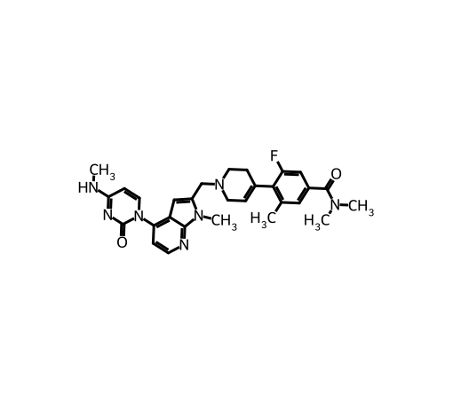 CNc1ccn(-c2ccnc3c2cc(CN2CC=C(c4c(C)cc(C(=O)N(C)C)cc4F)CC2)n3C)c(=O)n1